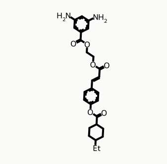 CCC1CCC(C(=O)Oc2ccc(C=CC(=O)OCCOC(=O)c3cc(N)cc(N)c3)cc2)CC1